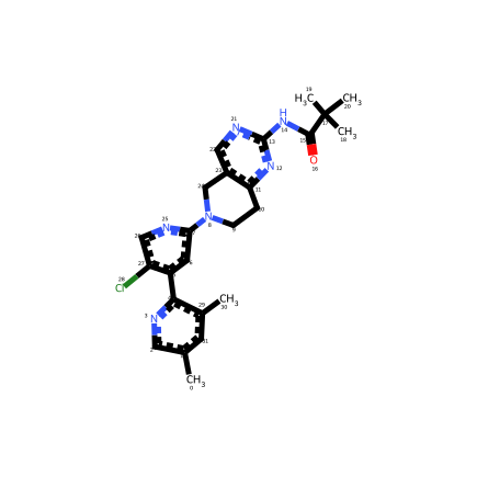 Cc1cnc(-c2cc(N3CCc4nc(NC(=O)C(C)(C)C)ncc4C3)ncc2Cl)c(C)c1